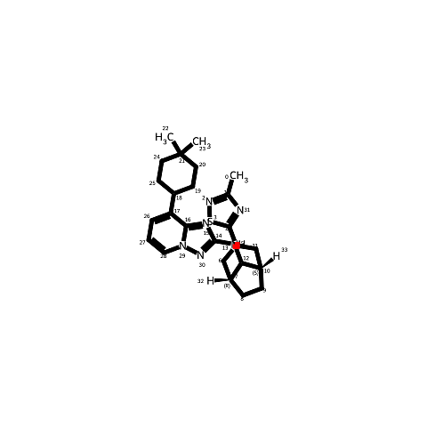 Cc1nsc(N2C[C@H]3CC[C@@H](C2)C3Nc2nc3c(C4CCC(C)(C)CC4)cccn3n2)n1